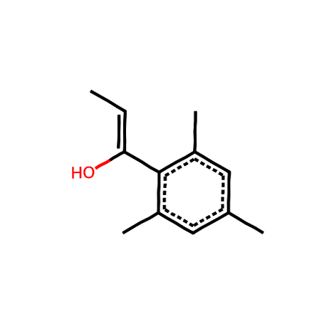 CC=C(O)c1c(C)cc(C)cc1C